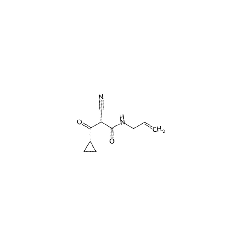 C=CCNC(=O)C(C#N)C(=O)C1CC1